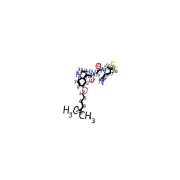 CC(C)CCCCOc1ccc2nccc(C(=O)NCC(=O)N3CC(F)(F)CC3C#N)c2c1